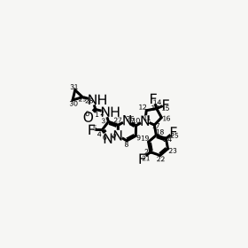 O=C(Nc1c(F)nn2ccc(N3CC(F)(F)CC3c3cc(F)ccc3F)nc12)NC1CC1